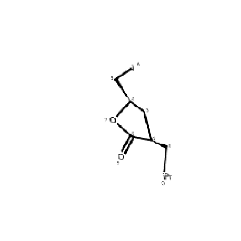 CC(C)C[C@@H]1C[C@H](CI)OC1=O